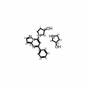 OC1CCN(c2cc(-c3ccccc3)nc3ccnn23)C1.OC1CCNC1